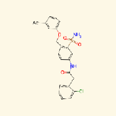 CC(=O)c1cccc(OCc2ccc(NC(=O)Cc3ccccc3Cl)cc2S(N)(=O)=O)c1